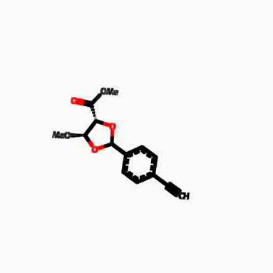 C#Cc1ccc(C2O[C@@H](OC)[C@H](C(=O)OC)O2)cc1